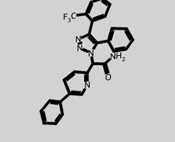 NC(=O)C(c1ccc(-c2ccccc2)cn1)n1nnc(-c2ccccc2C(F)(F)F)c1-c1ccccc1